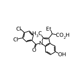 CCC(C(=O)O)c1c(C)n(C(=O)c2ccc(Cl)c(Cl)c2)c2ccc(O)cc12